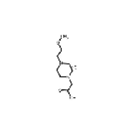 COCCN1CCN(CC(=O)O)CC1.Cl